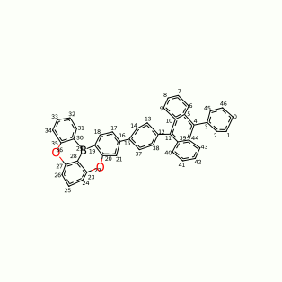 c1ccc(-c2c3ccccc3c(-c3ccc(-c4ccc5c(c4)Oc4cccc6c4B5c4ccccc4O6)cc3)c3ccccc23)cc1